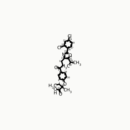 CCC(C)(Oc1ccc(C(=O)CCc2nc(-c3ccc(Cl)cc3Cl)oc2C(C)C)cc1)C(=O)O